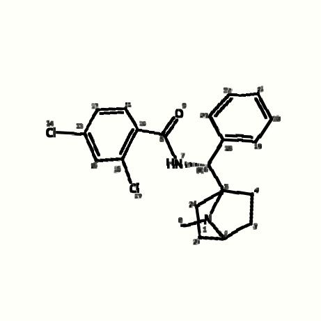 CN1C2CCC1([C@H](NC(=O)c1ccc(Cl)cc1Cl)c1ccccc1)CC2